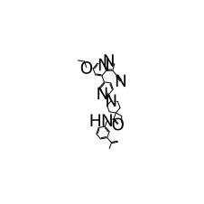 C=C(C)c1cccc(NC(=O)C2(CC)CCN(c3ccc(-c4cc(OCC)cn5ncc(C#N)c45)cn3)CC2)c1